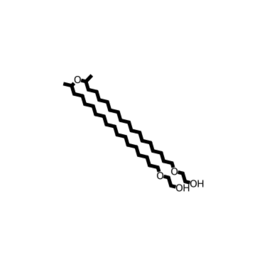 CC(CCCCCCCCCCCCCCCCOCCO)OC(C)CCCCCCCCCCCCCCCCOCCO